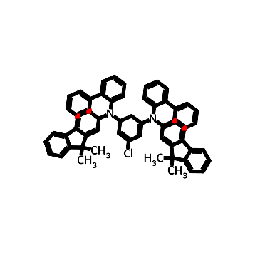 CC1(C)C2=CC(N(c3ccccc3-c3ccccc3)C3C=C(Cl)C=C(N(c4ccc5c(c4)C(C)(C)c4ccccc4-5)c4ccccc4-c4ccccc4)C3)CC=C2c2ccccc21